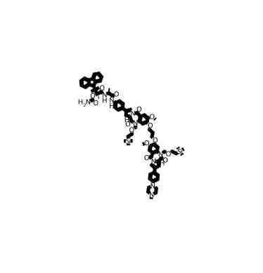 COc1cc2c(cc1OCCCOc1cc3c(cc1OC)C(=O)N1C=C(c4ccc(N5CCN(C)CC5)cc4)C[C@H]1C(=O)N3COCC[Si](C)(C)C)N(COCC[Si](C)(C)C)C(=O)[C@@H]1CC(c3ccc(NC(=O)[C@H](C)NC(=O)[C@@](C)(OC(N)=O)C(C)(C)C4c5ccccc5-c5ccccc54)cc3)=CN1C2=O